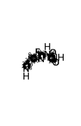 C[C@@H]1CN(c2ncc(NC3CCC(=O)NC3=O)cc2F)CCN1CC1CCNCC1